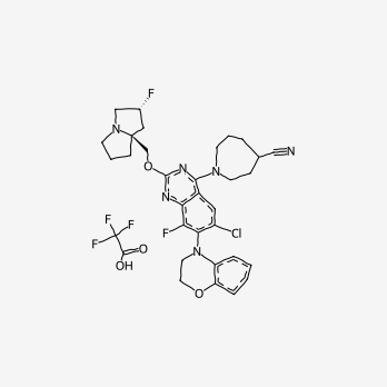 N#CC1CCCN(c2nc(OC[C@@]34CCCN3C[C@H](F)C4)nc3c(F)c(N4CCOc5ccccc54)c(Cl)cc23)CC1.O=C(O)C(F)(F)F